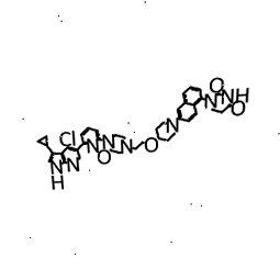 O=C1CCN(c2cccc3cc(N4CCC(OCCN5CCN(c6cccc(-c7cnc8[nH]cc(C9CC9)c8c7Cl)n6)C(=O)C5)CC4)ccc23)C(=O)N1